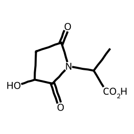 CC(C(=O)O)N1C(=O)CC(O)C1=O